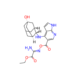 CCOC(=O)C(N)=NOC(=O)c1cnc2[nH]ccc2c1N[C@H]1[C@@H]2CC3C[C@H]1C[C@@](O)(C3)C2